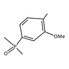 COc1cc(P(C)(C)=O)ccc1C